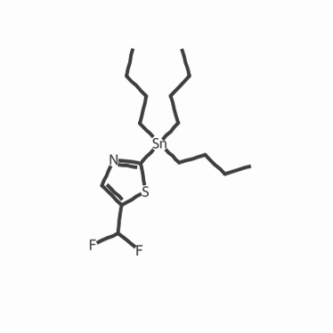 CCC[CH2][Sn]([CH2]CCC)([CH2]CCC)[c]1ncc(C(F)F)s1